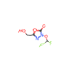 O=c1oc(CO)nn1OC(F)F